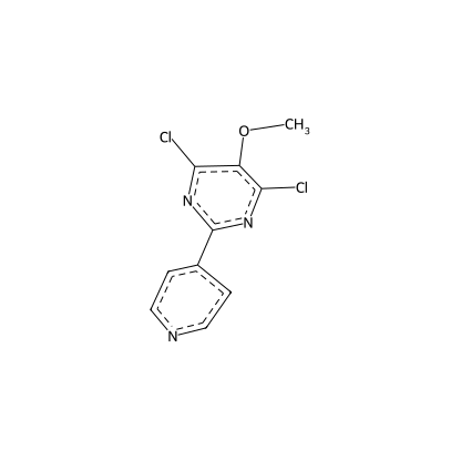 COc1c(Cl)nc(-c2ccncc2)nc1Cl